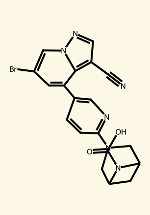 N#Cc1cnn2cc(Br)cc(-c3ccc(N4CC5CC(C4)N5C(=O)O)nc3)c12